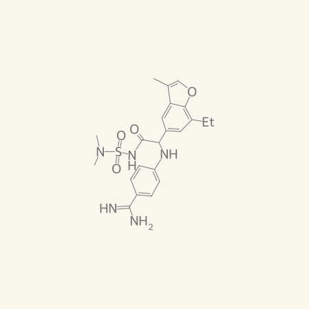 CCc1cc(C(Nc2ccc(C(=N)N)cc2)C(=O)NS(=O)(=O)N(C)C)cc2c(C)coc12